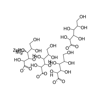 O=C([O-])C(O)C(O)C(O)C(O)CO.O=C([O-])C(O)C(O)C(O)C(O)CO.O=C([O-])C(O)C(O)C(O)C(O)CO.O=C([O-])C(O)C(O)C(O)C(O)CO.[Mg+2].[Zn+2]